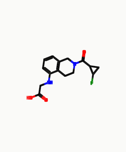 O=C(O)CNc1cccc2c1CCN(C(=O)C1CC1F)C2